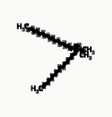 CCCCCCCCCCCCCCCCCCc1n(C(C)C)cc[n+]1CCCCCCCCCCCCCCCCCC